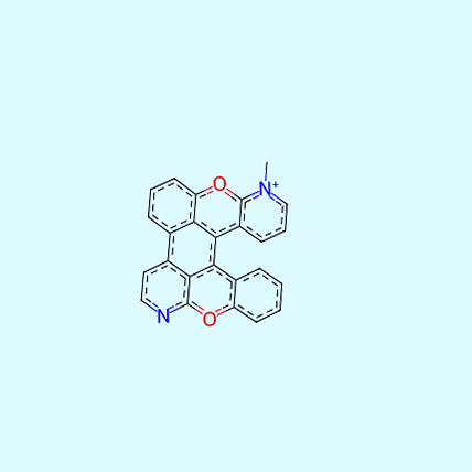 C[n+]1cccc2c3c4c(cccc4c4ccnc5oc6ccccc6c3c54)oc21